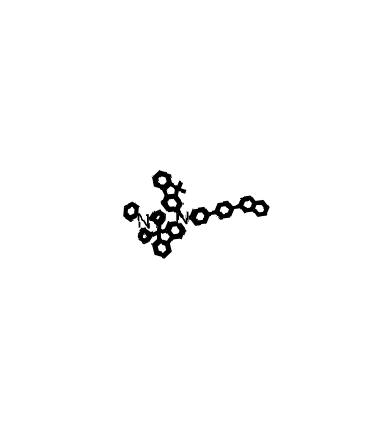 CC1(C)c2ccccc2-c2ccc(N(c3ccc(-c4ccc(-c5ccc6ccccc6c5)cc4)cc3)c3ccc4c(c3)C3(c5ccccc5-4)c4ccccc4N(c4ccccc4)c4ccccc43)cc21